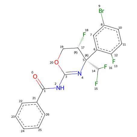 O=C(NC1=N[C@@](c2cc(Br)ccc2F)(C(F)F)[C@@H](F)CO1)c1ccccc1